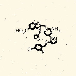 N.O=C(O)c1ccc2nc(CN3CCC(n4nccc4SCc4ccc(Cl)cc4F)CC3)n(C[C@@H]3CCO3)c2c1